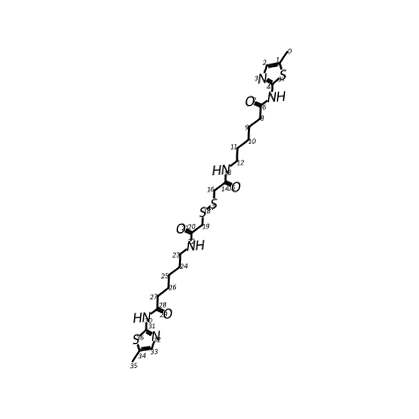 Cc1cnc(NC(=O)CCCCCNC(=O)CSSCC(=O)NCCCCCC(=O)Nc2ncc(C)s2)s1